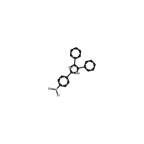 CCN(CC)c1ccc(-c2nc(-c3ccccc3)c(-c3ccccc3)[nH]2)cc1